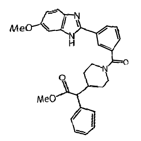 COC(=O)C(c1ccccc1)C1CCN(C(=O)c2cccc(-c3nc4ccc(OC)cc4[nH]3)c2)CC1